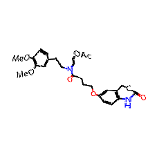 COc1ccc(CCN(CCOC(C)=O)C(=O)CCCOc2ccc3c(c2)CCC(=O)N3)cc1OC